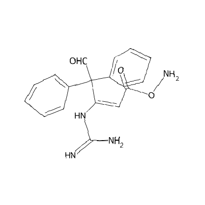 N=C(N)NC(=CC(=O)ON)C(C=O)(c1ccccc1)c1ccccc1